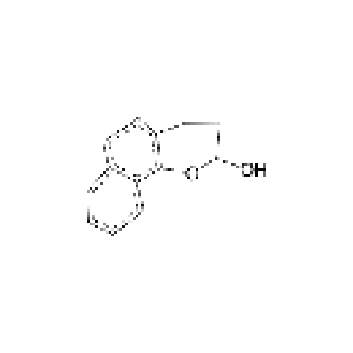 OC1CCc2ccc3ccccc3c2O1